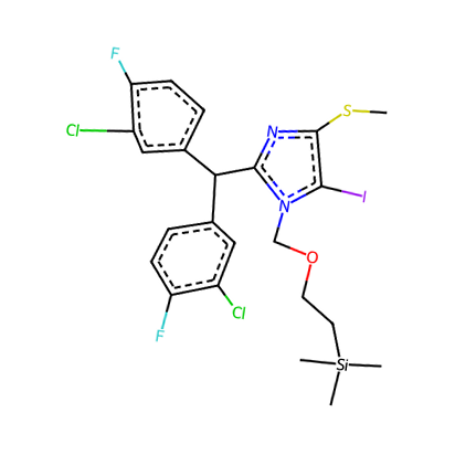 CSc1nc(C(c2ccc(F)c(Cl)c2)c2ccc(F)c(Cl)c2)n(COCC[Si](C)(C)C)c1I